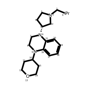 CC(C)CN1CC[C@@H](N2CCN(C3CCOCC3)c3ccccc32)C1